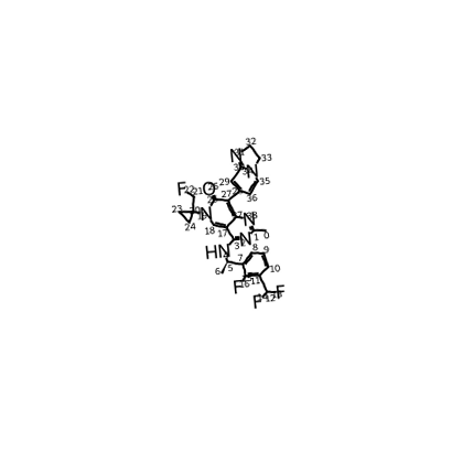 Cc1nc(N[C@H](C)c2cccc(C(F)F)c2F)c2cn(C3(CF)CC3)c(=O)c(C3=CC4=NCCN4C=C3)c2n1